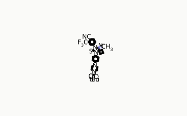 C/N=C1/N(c2ccc(C#N)c(C(F)(F)F)c2)C(=S)N(c2ccc(N3CCN(C(=O)OC(C)(C)C)CC3)cc2)C12CCC2